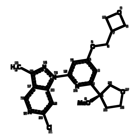 CO[C@]1(c2cc(OCC3COC3)cc(-n3nc(C)c4cnc(Cl)cc43)n2)CCOC1